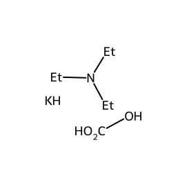 CCN(CC)CC.O=C(O)O.[KH]